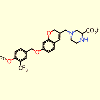 CC(C)Oc1ccc(COc2ccc3c(c2)OCC(CN2CCNC(C(=O)O)C2)=C3)cc1C(F)(F)F